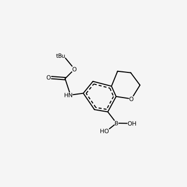 CC(C)(C)OC(=O)Nc1cc2c(c(B(O)O)c1)OCCC2